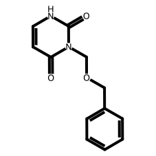 O=c1cc[nH]c(=O)n1COCc1ccccc1